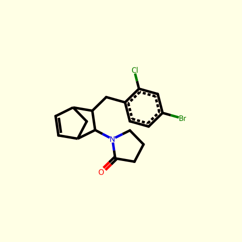 O=C1CCCN1C1C2C=CC(C2)C1Cc1ccc(Br)cc1Cl